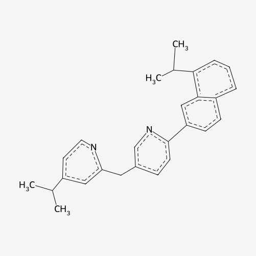 CC(C)c1ccnc(Cc2ccc(-c3ccc4cccc(C(C)C)c4c3)nc2)c1